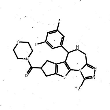 Cc1nnc2n1-c1sc3c(c1C(c1cc(F)cc(F)c1)NC2)CC(C(=O)N1CCOCC1)C3